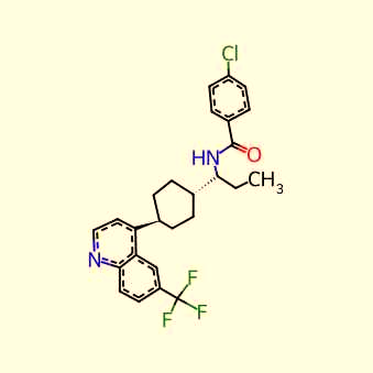 CCC(NC(=O)c1ccc(Cl)cc1)[C@H]1CC[C@H](c2ccnc3ccc(C(F)(F)F)cc32)CC1